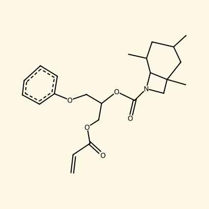 C=CC(=O)OCC(COc1ccccc1)OC(=O)N1CC2(C)CC(C)CC(C)C12